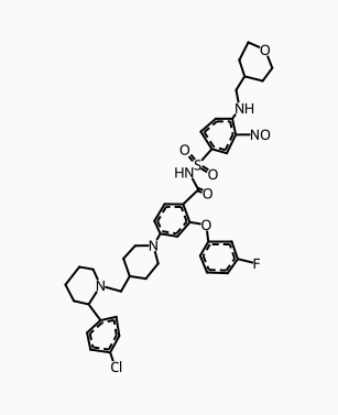 O=Nc1cc(S(=O)(=O)NC(=O)c2ccc(N3CCC(CN4CCCCC4c4ccc(Cl)cc4)CC3)cc2Oc2cccc(F)c2)ccc1NCC1CCOCC1